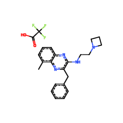 Cc1cccc2nc(NCCN3CCC3)c(Cc3ccccc3)nc12.O=C(O)C(F)(F)F